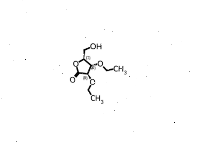 CCO[C@@H]1[C@H](CO)OC(=O)[C@@H]1OCC